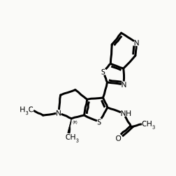 CCN1CCc2c(sc(NC(C)=O)c2-c2nc3cnccc3s2)[C@H]1C